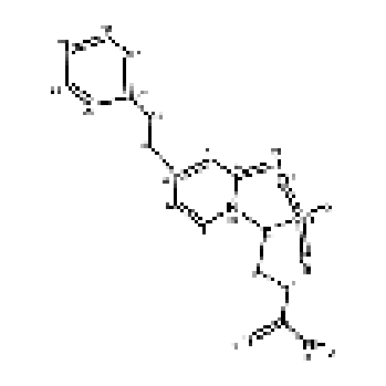 CS(=O)(=O)C(CCC(N)=O)n1ccc(CCc2ccccc2)cc1=O